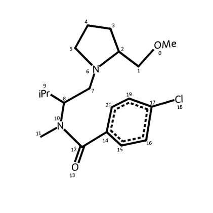 COCC1CCCN1CC(C(C)C)N(C)C(=O)c1ccc(Cl)cc1